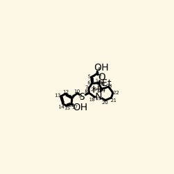 CC[C@]12OC(O)C=C1CC(SCc1ccccc1O)CN1CCCC[C@@H]12